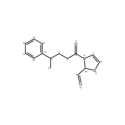 CC(CCC(=O)N1C=COC1C=O)c1ccccc1